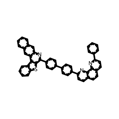 c1ccc(-c2ccc3ccc4ccc(-c5ccc(-c6ccc(-c7nc8cc9ccccc9cc8c8c7sc7ccccc78)cc6)cc5)nc4c3n2)cc1